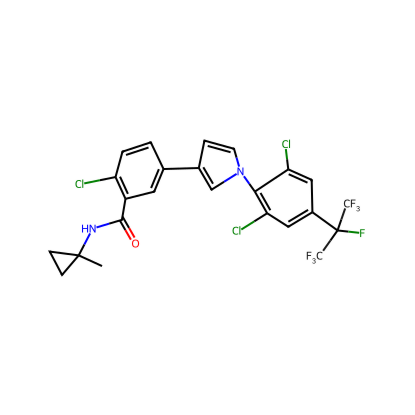 CC1(NC(=O)c2cc(-c3ccn(-c4c(Cl)cc(C(F)(C(F)(F)F)C(F)(F)F)cc4Cl)c3)ccc2Cl)CC1